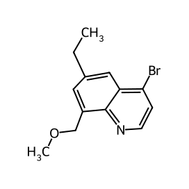 CCc1cc(COC)c2nccc(Br)c2c1